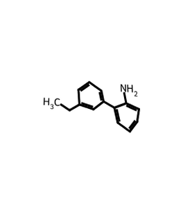 CCc1cccc(-c2ccccc2N)c1